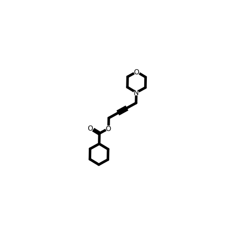 O=C(OCC#CCN1CCOCC1)C1CCCCC1